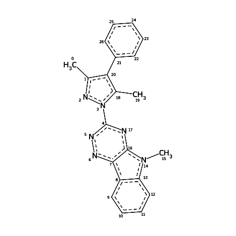 Cc1nn(-c2nnc3c4ccccc4n(C)c3n2)c(C)c1-c1ccccc1